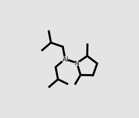 CC(C)[CH2][Al]([CH2]C(C)C)[N]1C(C)CCC1C